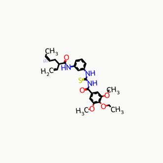 C=CC(C/C=C\C)C(=O)Nc1cccc(NC(=S)NC(=O)c2cc(OC)c(OCC)c(OC)c2)c1